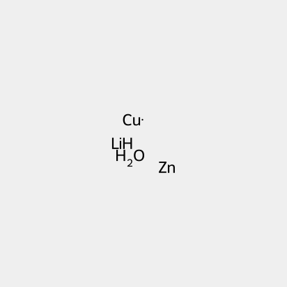 O.[Cu].[LiH].[Zn]